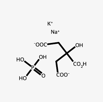 O=C([O-])CC(O)(CC(=O)[O-])C(=O)O.O=P(O)(O)O.[K+].[Na+]